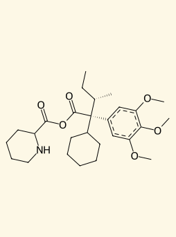 CC[C@H](C)[C@@](C(=O)OC(=O)C1CCCCN1)(c1cc(OC)c(OC)c(OC)c1)C1CCCCC1